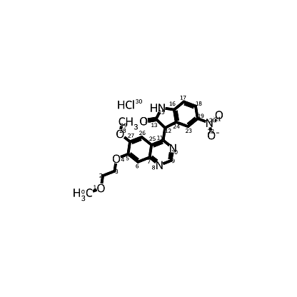 COCCOc1cc2ncnc(C3C(=O)Nc4ccc([N+](=O)[O-])cc43)c2cc1OC.Cl